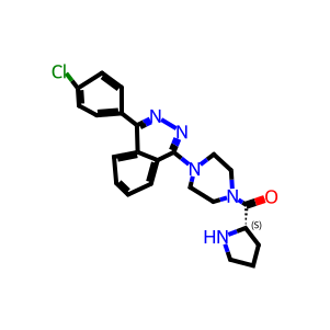 O=C([C@@H]1CCCN1)N1CCN(c2nnc(-c3ccc(Cl)cc3)c3ccccc23)CC1